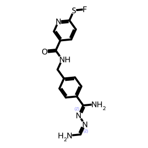 N/C=N\N=C(/N)c1ccc(CNC(=O)c2ccc(SF)nc2)cc1